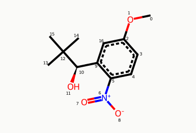 COc1ccc([N+](=O)[O-])c([C@@H](O)C(C)(C)C)c1